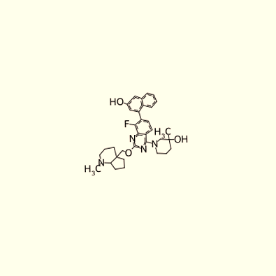 CN1CCCC2(COc3nc(N4CCCC(C)(O)C4)c4ccc(-c5cc(O)cc6ccccc56)c(F)c4n3)CCCC12